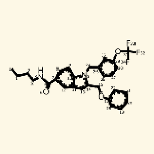 CCCCNC(=O)c1ccc2c(c1)cc(COc1ccccc1)n2Cc1cccc(OC(F)(F)F)c1